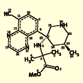 COC(=O)C(C)(C)N[C@]1(c2ccc(C#N)c3nccnc23)CNC[C@@H](C)C1